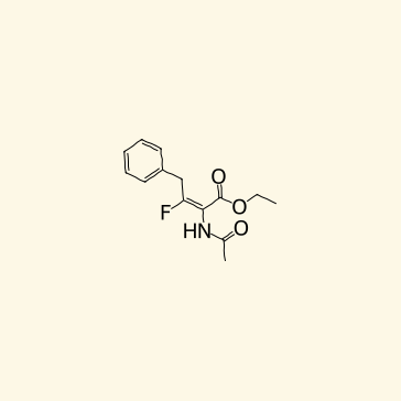 CCOC(=O)/C(NC(C)=O)=C(/F)Cc1ccccc1